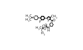 Cc1cc(-c2ccc(C3CCN(C(C)C)CC3)c(F)c2)sc1C(=O)N1CC[C@H](NC(=O)OC(C)(C)C)C1